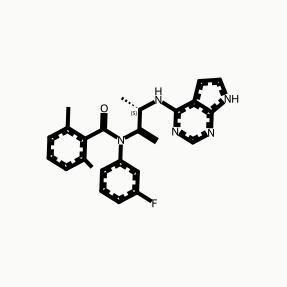 C=C([C@H](C)Nc1ncnc2[nH]ccc12)N(C(=O)c1c(C)cccc1C)c1cccc(F)c1